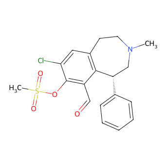 CN1CCc2cc(Cl)c(OS(C)(=O)=O)c(C=O)c2[C@@H](c2ccccc2)C1